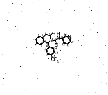 CC1Cc2ccccc2C(c2ccc(C(F)(F)F)cc2)N1C(=O)Nc1cccnc1